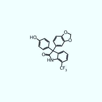 O=C1Nc2c(C(F)(F)F)cccc2C1(c1ccc(O)cc1)c1ccc2c(c1)OCO2